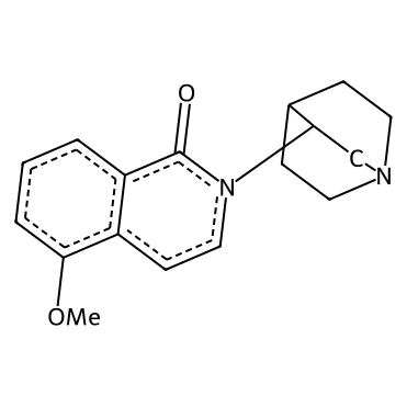 COc1cccc2c(=O)n(C3CN4CCC3CC4)ccc12